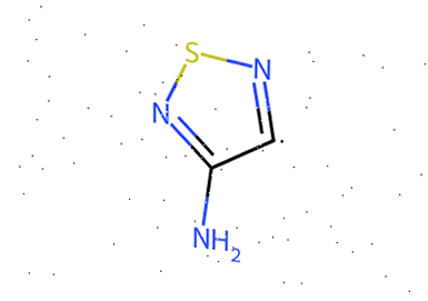 Nc1[c]nsn1